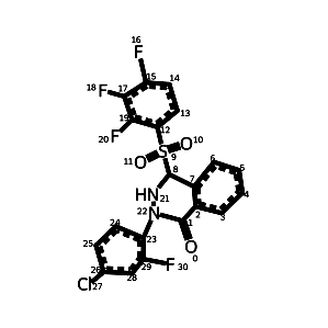 O=C1c2ccccc2C(S(=O)(=O)c2ccc(F)c(F)c2F)NN1c1ccc(Cl)cc1F